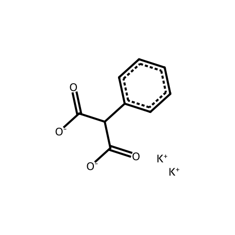 O=C([O-])C(C(=O)[O-])c1ccccc1.[K+].[K+]